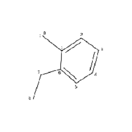 [CH]c1ccccc1CC